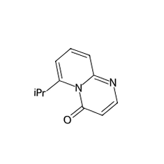 CC(C)c1cccc2nccc(=O)n12